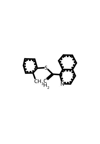 C=C(Sc1ccccc1C)c1nccc2ccccc12